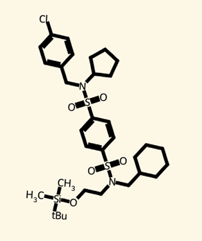 CC(C)(C)[Si](C)(C)OCCN(CC1CCCCC1)S(=O)(=O)c1ccc(S(=O)(=O)N(Cc2ccc(Cl)cc2)C2CCCC2)cc1